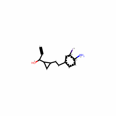 C#CC(O)C1CC1CCc1ccc(N)c(I)c1